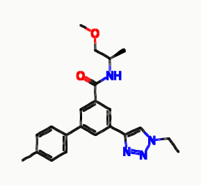 CCn1cc(-c2cc(C(=O)N[C@H](C)COC)cc(-c3ccc(C)cc3)c2)nn1